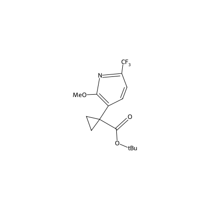 COc1nc(C(F)(F)F)ccc1C1(C(=O)OC(C)(C)C)CC1